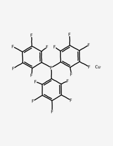 Fc1c(F)c(F)c(P(c2c(F)c(F)c(F)c(F)c2F)c2c(F)c(F)c(F)c(F)c2F)c(F)c1F.[Cu]